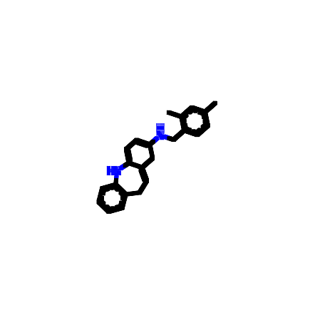 Cc1ccc(CNC2=CC=C3Nc4ccccc4CC=C3C2)c(C)c1